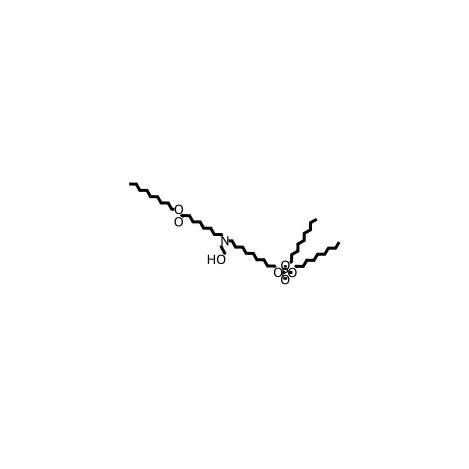 CCCCCCCCCOC(=O)CCCCCCCN(CCO)CCCCCCCCCOP(=O)(OCCCCCCCCC)OCCCCCCCCC